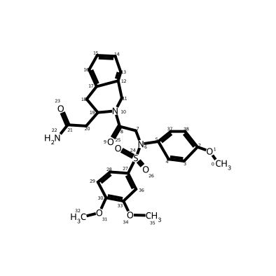 COc1ccc(N(CC(=O)N2Cc3ccccc3CC2CC(N)=O)S(=O)(=O)c2ccc(OC)c(OC)c2)cc1